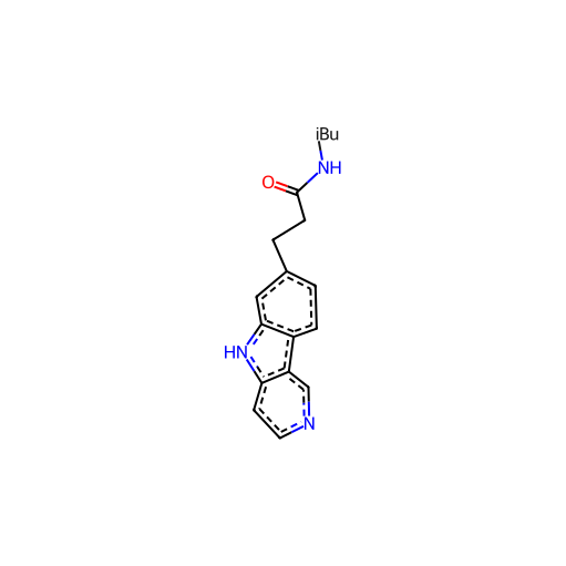 CCC(C)NC(=O)CCc1ccc2c(c1)[nH]c1ccncc12